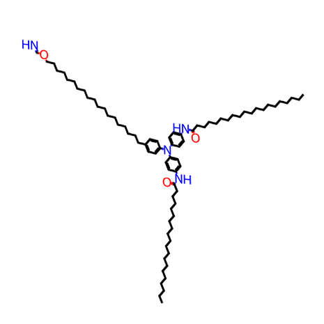 CCCCCCCCCCCCCCCCCCCC(=O)Nc1ccc(N(c2ccc(CCCCCCCCCCCCCCCCCCCOC=N)cc2)c2ccc(NC(=O)CCCCCCCCCCCCCCCCCCC)cc2)cc1